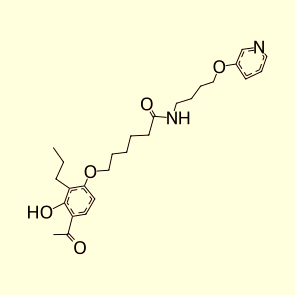 CCCc1c(OCCCCCC(=O)NCCCCOc2cccnc2)ccc(C(C)=O)c1O